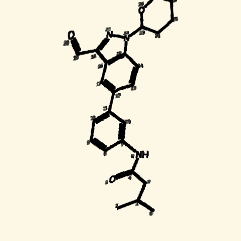 CC(C)CC(=O)Nc1cccc(-c2ccc3c(c2)c(C=O)nn3C2CCCCO2)c1